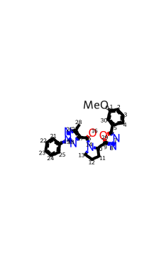 COc1cccc(-c2nnc(C3CCCN3C(=O)c3nn(-c4ccccc4)nc3C)o2)c1